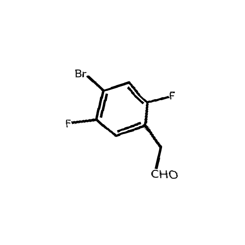 O=CCc1cc(F)c(Br)cc1F